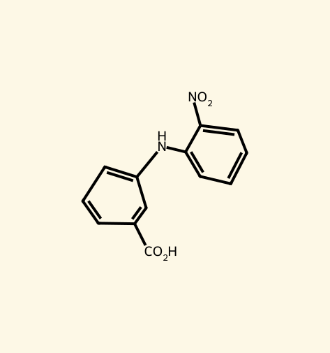 O=C(O)c1cccc(Nc2ccccc2[N+](=O)[O-])c1